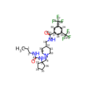 CCCNC(=O)NC1(CN2CCC(CNC(=O)c3cc(C(F)(F)F)cc(C(F)(F)F)c3)CC2)CCCC1